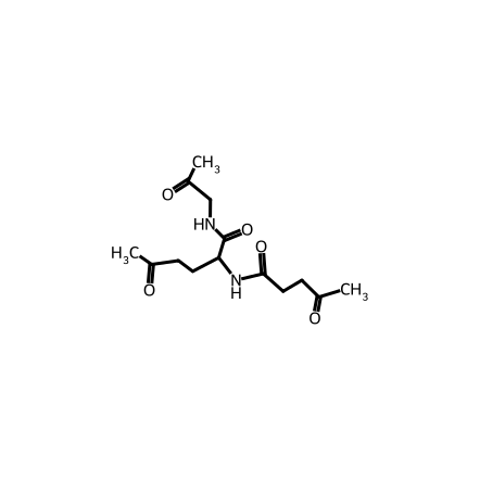 CC(=O)CCC(=O)NC(CCC(C)=O)C(=O)NCC(C)=O